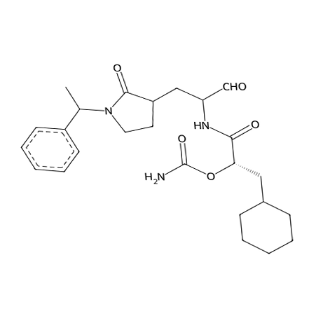 CC(c1ccccc1)N1CCC(CC(C=O)NC(=O)[C@H](CC2CCCCC2)OC(N)=O)C1=O